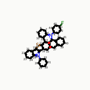 Fc1ccc(N(c2ccccc2-c2cccc3c2sc2c4ccccc4n(-c4ccccc4)c32)c2cccc3ccccc23)cc1